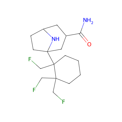 NC(=O)C1CC2CCC(C3(CF)CCCCC3(CF)CF)(C1)N2